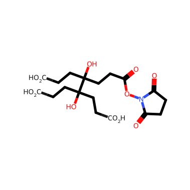 O=C(O)CCC(O)(CCC(=O)O)C(O)(CCC(=O)O)CCC(=O)ON1C(=O)CCC1=O